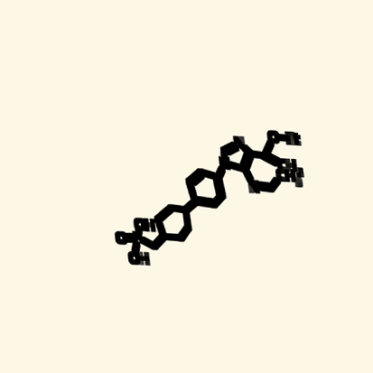 C=C(OCC)c1ncn(-c2ccc(C3CCC(CP(=O)(O)O)CC3)cc2)c1/N=C\C